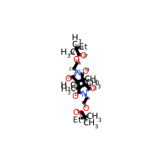 CCC(C)(C)C(=O)OCCN1C(=O)C2(C)C(C)(C1=O)C1(C)C(=O)N(CCOC(=O)C(C)(C)CC)C(=O)C21C